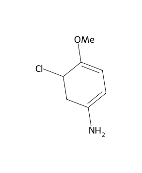 COC1=CC=C(N)CC1Cl